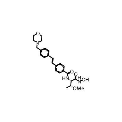 CO[C@H](C)[C@H](NC(=O)c1ccc(/C=C/c2ccc(CN3CCOCC3)cc2)cc1)C(=O)NO